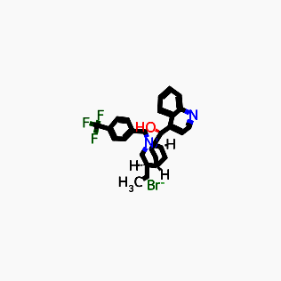 CC[C@H]1C[N+]2(Cc3ccc(C(F)(F)F)cc3)CC[C@H]1C[C@@H]2[C@@H](O)c1ccnc2ccccc12.[Br-]